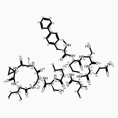 CC[C@H](C)[C@H](NC(=O)[C@@H](Cc1ccc(-c2ccccc2)cc1)NC)C(=O)N[C@@H](CO)C(=O)N[C@H](CCC(N)=O)C(=O)N[C@@H](C(=O)N[C@H](C(=O)N[C@@H](CO)C(=O)N[C@H]1C(=O)N[C@@H](C)C(=O)NC2(CC2)C(=O)N[C@@H]([C@@H](C)CC)C(=O)N[C@H]1C)[C@@H](C)CC)[C@@H](C)CC